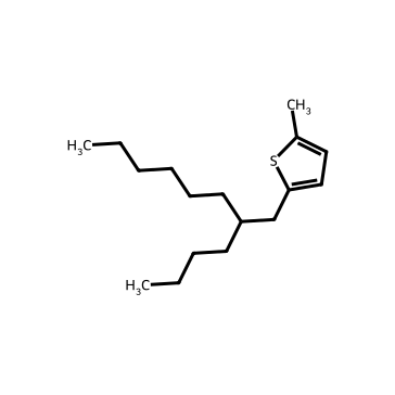 CCCCCCC(CCCC)Cc1ccc(C)s1